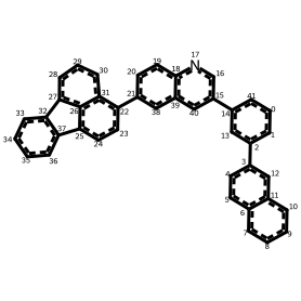 c1cc(-c2ccc3ccccc3c2)cc(-c2cnc3ccc(-c4ccc5c6c(cccc46)-c4ccccc4-5)cc3c2)c1